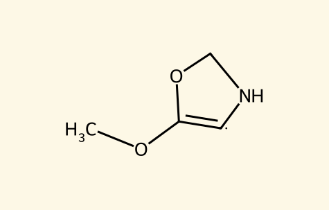 COC1=[C]NCO1